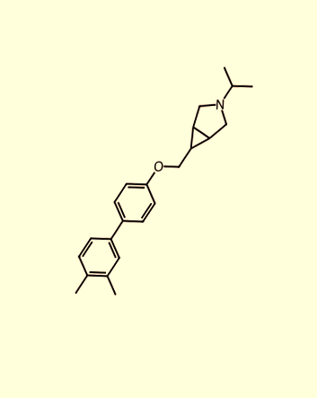 Cc1ccc(-c2ccc(OCC3C4CN(C(C)C)CC34)cc2)cc1C